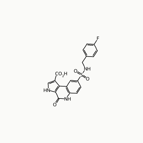 O=C(O)c1c[nH]c2c(=O)[nH]c3ccc(S(=O)(=O)NCc4ccc(F)cc4)cc3c12